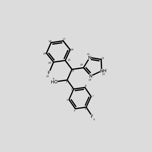 OC(c1ccc(F)cc1)C(c1nc[nH]n1)c1ccccc1F